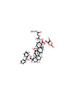 COC(=O)CCC(=O)N[C@H]1CC[C@@]2(C)[C@@H](CC[C@]3(C)[C@@H]2C(=O)C=C2[C@@H]4C[C@@](C)(C(=O)OC(c5ccccc5)c5ccccc5)CC[C@]4(C)CC[C@]23C)[C@]1(C)C(=O)OCc1oc(=O)oc1C